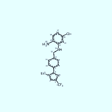 CCn1cc(C(F)(F)F)nc1-c1ccc(CNc2nc(Cl)ncc2N)cc1